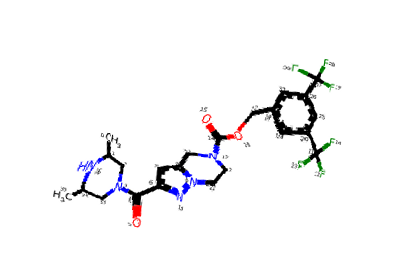 CC1CN(C(=O)c2cc3n(n2)CCN(C(=O)OCc2cc(C(F)(F)F)cc(C(F)(F)F)c2)C3)CC(C)N1